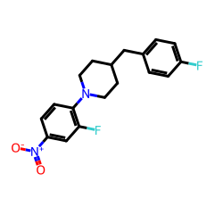 O=[N+]([O-])c1ccc(N2CCC(Cc3ccc(F)cc3)CC2)c(F)c1